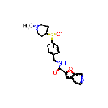 C/C=C(\C=C/C[S+]([O-])C1CCN(C)CC1)CNC(=O)c1cc2ccncc2o1